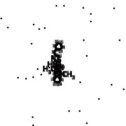 CC12CC(C)(C(=O)Nc3nc(Cc4ccccc4)cs3)C(c3ccccc31)n1ccnc12